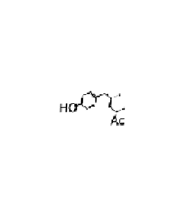 CC(=O)[C@@H](C)C[C@@H](C)Cc1ccc(O)cc1